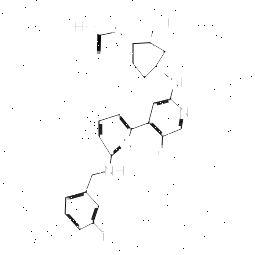 C[C@H]1C[C@@H](Nc2cc(-c3cccc(NCc4cccc(F)c4)n3)c(Cl)cn2)CC[C@@H]1NC(=O)O